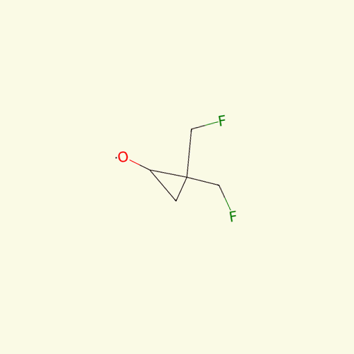 [O]C1CC1(CF)CF